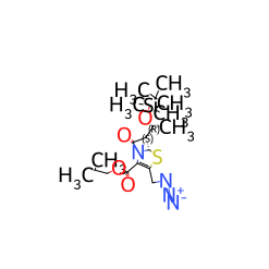 CC(C)COC(=O)C1=C(CN=[N+]=[N-])SC2[C@@H]([C@@H](C)O[Si](C)(C)C(C)(C)C)C(=O)N12